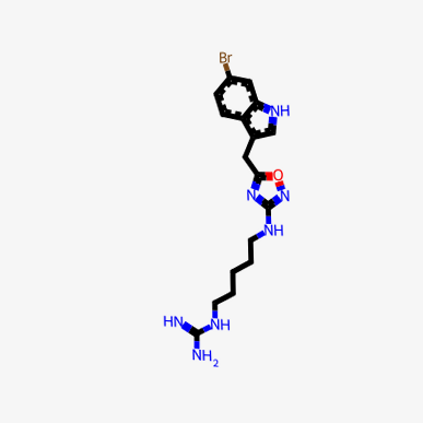 N=C(N)NCCCCCNc1noc(Cc2c[nH]c3cc(Br)ccc23)n1